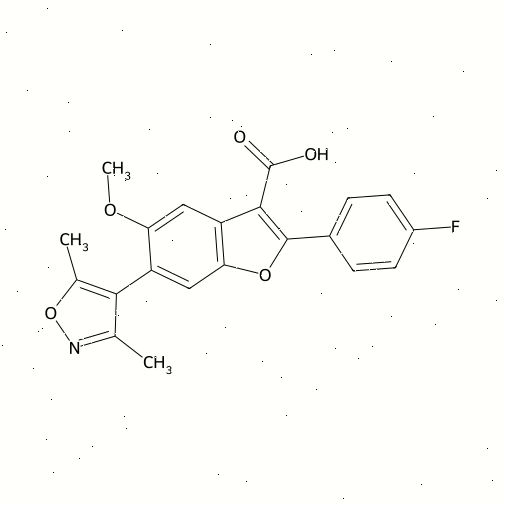 COc1cc2c(C(=O)O)c(-c3ccc(F)cc3)oc2cc1-c1c(C)noc1C